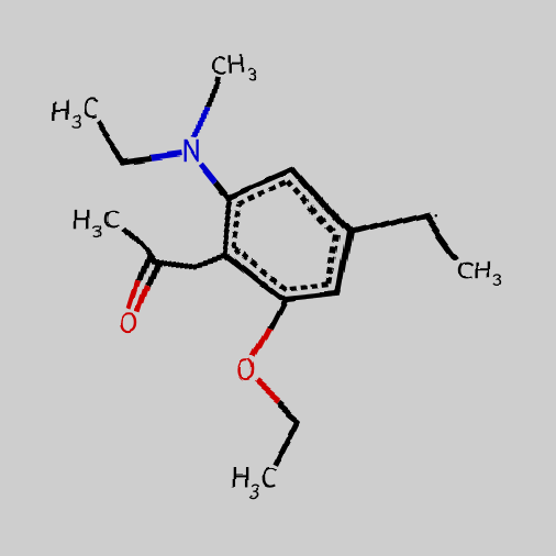 C[CH]c1cc(OCC)c(C(C)=O)c(N(C)CC)c1